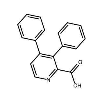 O=C(O)c1nccc(-c2ccccc2)c1-c1ccccc1